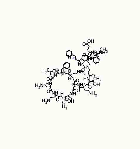 CNC(=O)c1ccccc1Sc1ccc2c(/C=C/c3ccccn3)nn(C(=O)N(CCNC(=O)[C@H](CCC(=O)O)NC=O)CCC(=O)N[C@H](C(=O)N[C@@H](CCN)C(=O)N[C@H]3CCNC(=O)[C@H]([C@@H](C)O)NC(=O)[C@H](CCN)NC(=O)[C@H](CCN)NC(=O)[C@H](CC(C)C)NC(=O)[C@@H](Cc4ccccc4)NC(=O)[C@H](CCN)NC3=O)[C@@H](C)O)c2c1